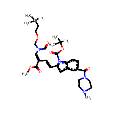 COC(=O)C(/C=C/c1cc2cc(C(=O)N3CCN(C)CC3)ccc2n1C(=O)OC(C)(C)C)=C/N(C=O)COCC[Si](C)(C)C